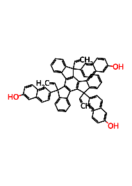 C=CC1(c2ccc3cc(O)ccc3c2)c2ccccc2-c2c1c1c(c3c2C(C=C)(c2ccc4cc(O)ccc4c2)c2ccccc2-3)C(C=C)(c2ccc3cc(O)ccc3c2)c2ccccc2-1